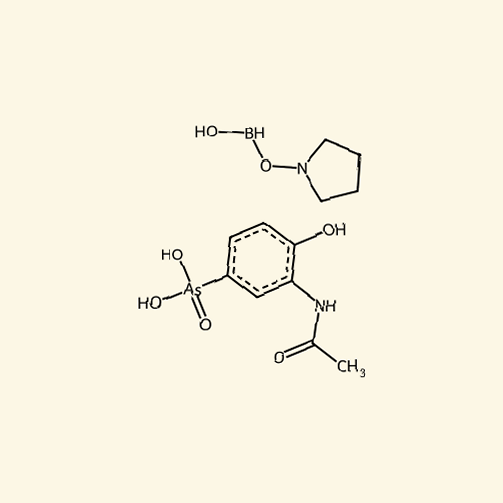 CC(=O)Nc1cc([As](=O)(O)O)ccc1O.OBON1CCCC1